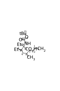 C=CCCC(C)C[C@@H](CC)C(CC)(NC(=O)OC(C)(C)C)C(=O)O